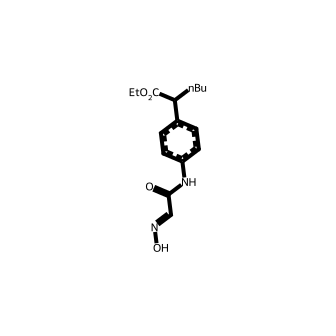 CCCCC(C(=O)OCC)c1ccc(NC(=O)C=NO)cc1